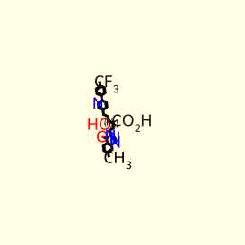 Cc1ccc2c(=O)n(CC[C@H](C(=O)O)[C@H](O)CCc3ccc(-c4ccc(C(F)(F)F)cc4)nc3)nnc2c1